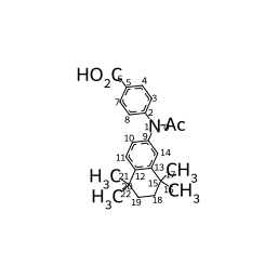 CC(=O)N(c1ccc(C(=O)O)cc1)c1ccc2c(c1)C(C)(C)CCC2(C)C